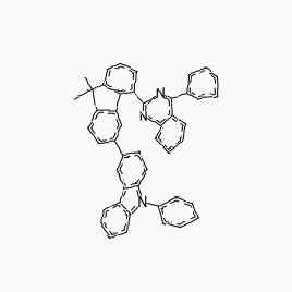 CC1(C)c2ccc(-c3ccc4c(c3)c3ccccc3n4-c3ccccc3)cc2-c2c(-c3nc(-c4ccccc4)c4ccccc4n3)cccc21